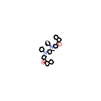 Cc1ccc(N(c2ccccc2)c2ccc3oc4ccc5ccccc5c4c3c2)cc1N(c1ccccc1)c1ccc2oc3ccc4ccccc4c3c2c1